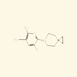 Cc1cc(Br)c(Br)nc1N1CCC2(CC1)CC2